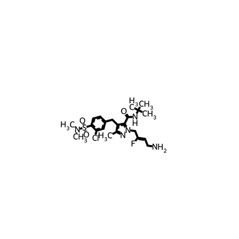 Cc1nn(CC(F)=CCN)c(C(=O)NC(C)(C)C)c1Cc1ccc(S(=O)(=O)N(C)C)c(Cl)c1